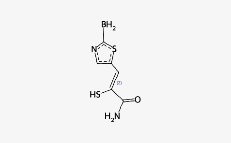 Bc1ncc(/C=C(\S)C(N)=O)s1